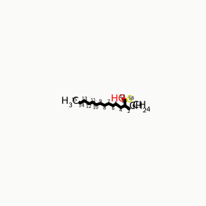 C.C=CC(CCCCCCCCCCCC)C(O)=S